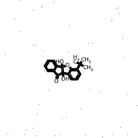 CC(C)(C)c1cccc2c1OC1(O)c3ccccc3C(=O)C21O